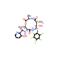 CCC(C)C1NC(=O)[C@H](C)[C@H](O)[C@H](Cc2c(F)c(F)c(F)c(F)c2F)NC(=O)[C@@H](NC(=O)c2ncccc2O)[C@@H](C)OC1=O